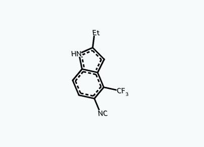 [C-]#[N+]c1ccc2[nH]c(CC)cc2c1C(F)(F)F